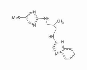 CSc1cnc(NCC(C)CNc2cnc3ccccc3n2)nc1